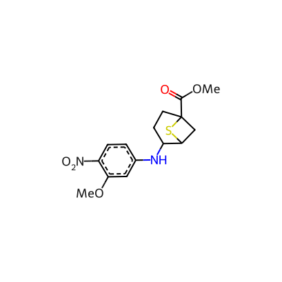 COC(=O)C12CCC(Nc3ccc([N+](=O)[O-])c(OC)c3)C(C1)S2